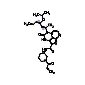 C=C/C=C(\C=C(/C)N1C(=O)Nc2c(C(=O)N[C@@H]3CCCN(C(=O)C=C)C3)sc3nccc1c23)OC(C)C